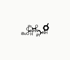 Cc1ccc(NC(CNC(=O)C(NC(=O)OCC(C)C)C(C)C)C(C)C)cc1